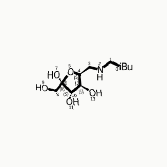 CCC(C)CNC[C@@H]1O[C@](O)(CO)[C@@H](O)[C@@H]1O